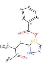 CCOC(=O)C(CC1NC=C[SH]1OC(=O)c1ccccc1)C(=O)C(C)C